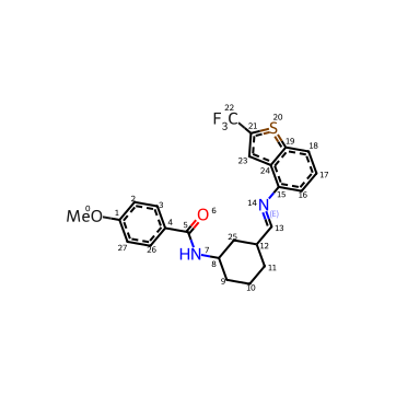 COc1ccc(C(=O)NC2CCCC(/C=N/c3cccc4sc(C(F)(F)F)cc34)C2)cc1